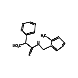 CCOC(=O)C(C(=S)NCc1ccccc1C)c1ccccn1